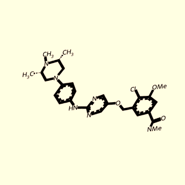 CNC(=O)c1cc(COc2cnc(Nc3ccc(N4C[C@@H](C)N(C)[C@@H](C)C4)cc3)nc2)c(Cl)c(OC)c1